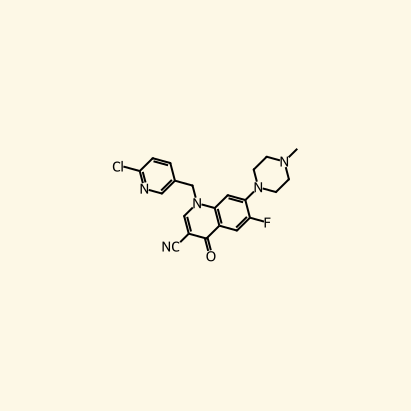 CN1CCN(c2cc3c(cc2F)c(=O)c(C#N)cn3Cc2ccc(Cl)nc2)CC1